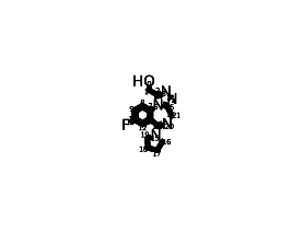 OCc1nnc2n1-c1ccc(F)cc1C(N1CCCC1)=NC2